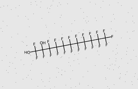 OC(F)(F)C(O)(F)C(F)(F)C(F)(F)C(F)(F)C(F)(F)C(F)(F)C(F)(F)C(F)(F)C(F)(F)C(F)(F)F